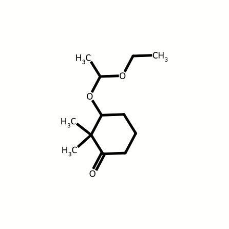 CCOC(C)OC1CCCC(=O)C1(C)C